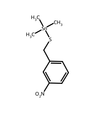 [CH3][Sn]([CH3])([CH3])[S]Cc1cccc([N+](=O)[O-])c1